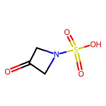 O=C1CN(S(=O)(=O)O)C1